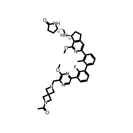 COc1nc(-c2cccc(-c3cccc(-c4cc5c(c(OC)n4)[C@@H](NC[C@@H]4CCC(=O)N4)CC5)c3C)c2F)cnc1CN1CC2(C1)CN(C(C)=O)C2